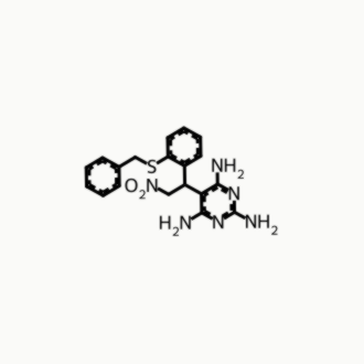 Nc1nc(N)c(C(C[N+](=O)[O-])c2ccccc2SCc2ccccc2)c(N)n1